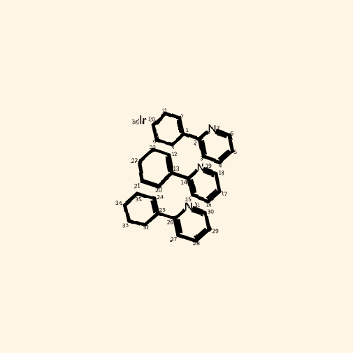 C1=C(c2ccccn2)CCCC1.C1=C(c2ccccn2)CCCC1.C1=C(c2ccccn2)CCCC1.[Ir]